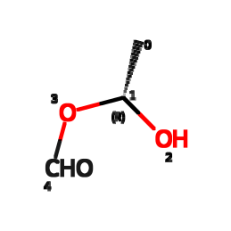 C[C@H](O)OC=O